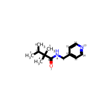 CC(C)C(C)(C)C(=O)NCc1ccncc1